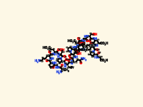 CC(C)C[C@H](NC(=O)CNC(=O)[C@H](C)N)C(=O)N[C@@H](CCCCN)C(=O)N[C@@H](CCC(=O)O)C(=O)N[C@@H](CO)C(=O)N1CCC[C@H]1C(=O)N[C@@H](CC(C)C)C(=O)N[C@@H](CCC(N)=O)C(=O)N[C@H](C(=O)N1CCC[C@H]1C(=O)N[C@H](C(=O)N[C@@H](CCC(=O)O)C(=O)N[C@@H](CC(=O)O)C(=O)NCC(=O)N[C@@H](CO)C(=O)N[C@@H](CCC(=O)O)C(=O)N[C@@H](CCC(=O)O)C(=O)N1CCC[C@H]1C(=O)NCC(=O)O)[C@@H](C)O)[C@@H](C)O